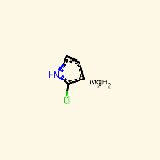 Clc1ccc[nH]1.[MgH2]